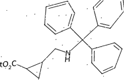 CCOC(=O)C1CC1CNC(c1ccccc1)(c1ccccc1)c1ccccc1